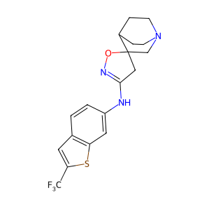 FC(F)(F)c1cc2ccc(NC3=NOC4(C3)CN3CCC4CC3)cc2s1